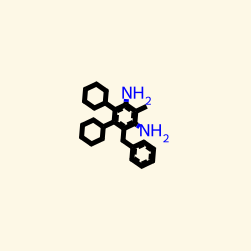 Cc1c(N)c(Cc2ccccc2)c(C2CCCCC2)c(C2CCCCC2)c1N